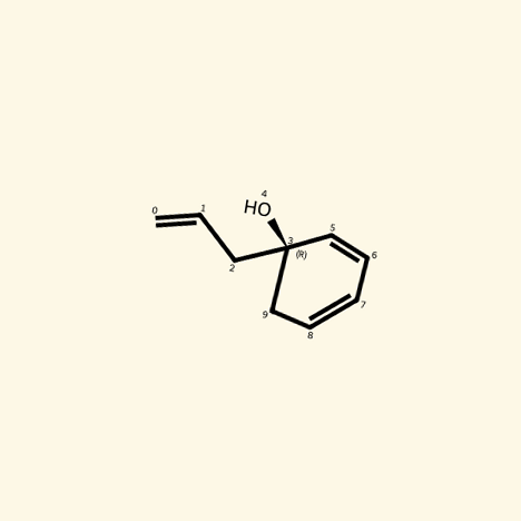 C=CC[C@]1(O)C=CC=CC1